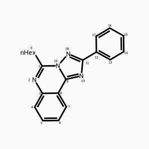 CCCCCCc1nc2ccccc2c2nc(-c3ccccc3)nn12